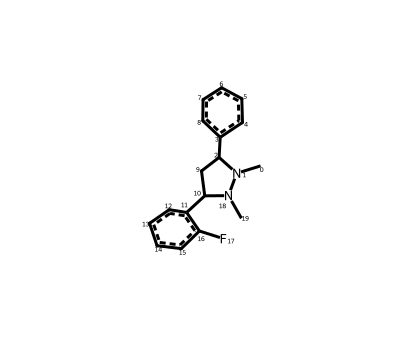 CN1C(c2ccccc2)CC(c2ccccc2F)N1C